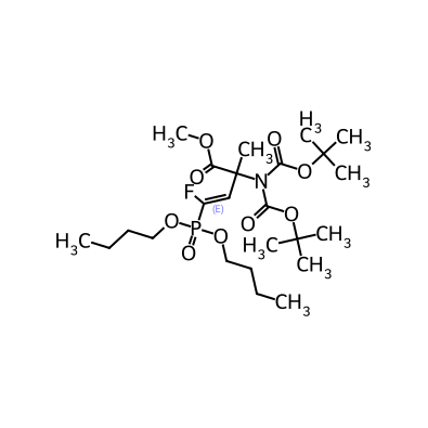 CCCCOP(=O)(OCCCC)/C(F)=C/C(C)(C(=O)OC)N(C(=O)OC(C)(C)C)C(=O)OC(C)(C)C